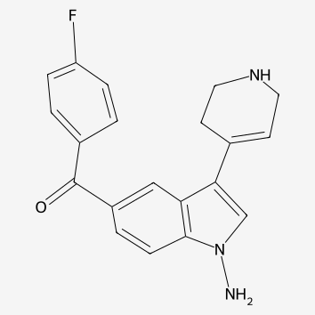 Nn1cc(C2=CCNCC2)c2cc(C(=O)c3ccc(F)cc3)ccc21